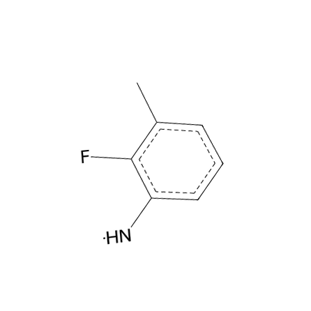 Cc1cccc([NH])c1F